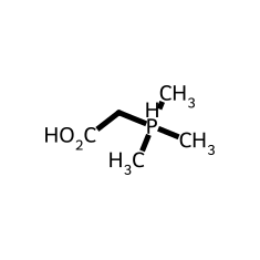 C[PH](C)(C)CC(=O)O